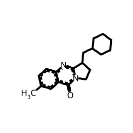 Cc1ccc2nc3n(c(=O)c2c1)CCC3CC1CCCCC1